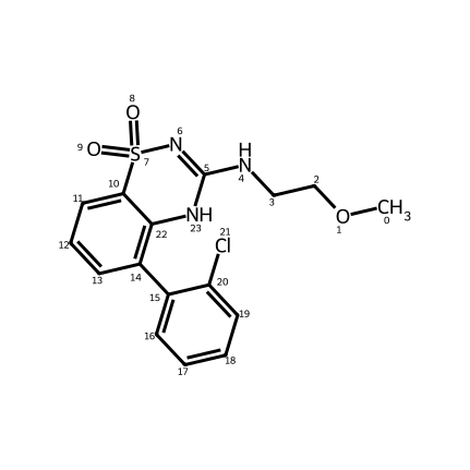 COCCNC1=NS(=O)(=O)c2cccc(-c3ccccc3Cl)c2N1